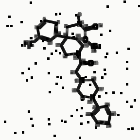 CN(CC1(c2cccc(C(F)(F)F)c2)CCN(C(=O)CN2CCN(c3ccccc3)CC2)CC1)C(=O)OC(C)(C)C